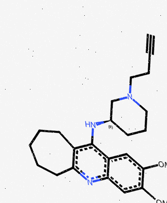 C#CCCN1CCC[C@@H](Nc2c3c(nc4cc(OC)c(OC)cc24)CCCCC3)C1